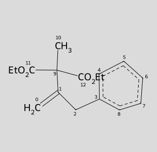 C=C(Cc1ccccc1)C(C)(C(=O)OCC)C(=O)OCC